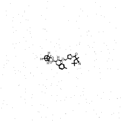 Cc1ccc(C[C@H](NC(=O)OC[C@H]2CCN(C(=O)C(C)(C#N)CC(C)(C)C)C2)B2O[C@@H]3C[C@@H]4C[C@@H](C4(C)C)[C@]3(C)O2)cc1